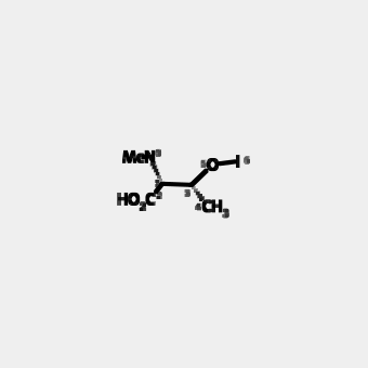 CN[C@@H](C(=O)O)[C@@H](C)OI